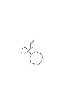 C=CBC(CC)(CC)C1CCCCCCCC1